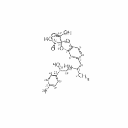 CC(Cc1ccc2c(c1)OC(C(=O)O)(C(=O)O)O2)NCC(O)c1ccc(F)cc1